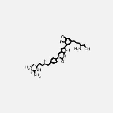 N=C(N)N[C@H](CN)CCNCc1ccc(-n2cc3cc(-c4cc(CCC[C@@H](N)CO)cc(Cl)c4F)[nH]c3nc2=O)cc1